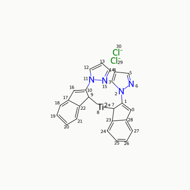 C1=C(n2cccn2)[CH]([Ti+2][CH]2C(n3cccn3)=Cc3ccccc32)c2ccccc21.[Cl-].[Cl-]